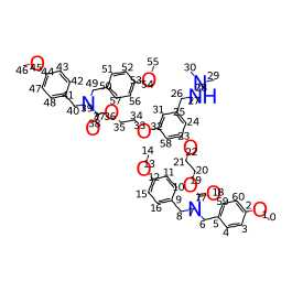 COc1ccc(CN(Cc2ccc(OC)cc2)C(=O)OCCOc2cc(CNN(C)C)cc(OCCOC(=O)N(Cc3ccc(OC)cc3)Cc3ccc(OC)cc3)c2)cc1